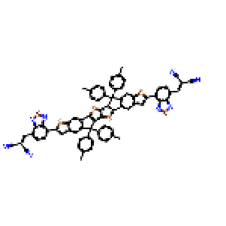 Cc1ccc(C2(c3ccc(C)cc3)c3cc4cc(-c5ccc(C=C(C#N)C#N)c6nsnc56)sc4cc3-c3sc4c5c(sc4c32)-c2cc3cc(-c4ccc(C=C(C#N)C#N)c6nsnc46)sc3cc2C5(c2ccc(C)cc2)c2ccc(C)cc2)cc1